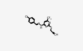 C#CCSc1nc(NN=Cc2ccc(Cl)cc2)cc(C(F)(F)F)n1